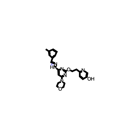 Cc1cccc(/C=N/Nc2cc(N3CCOCC3)nc(OCCc3ccc(O)cn3)n2)c1